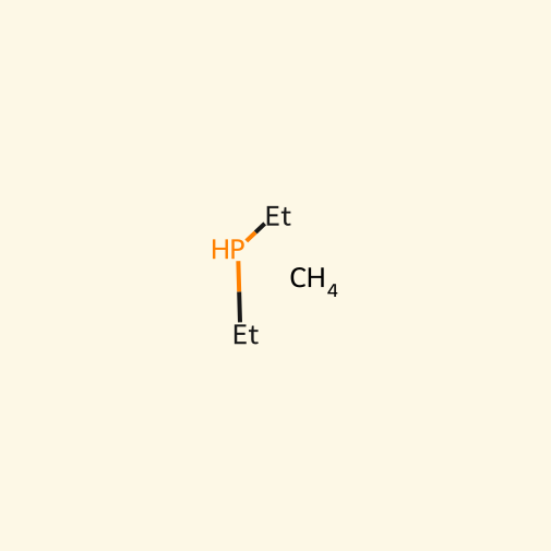 C.CCPCC